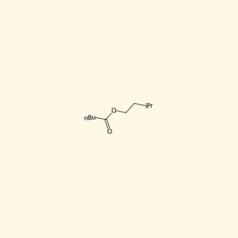 CCC[CH]C(=O)OCCC(C)C